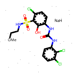 COCCNS(=O)(=O)c1c(Cl)ccc(NC(=O)Nc2cccc(Cl)c2Cl)c1O.[NaH]